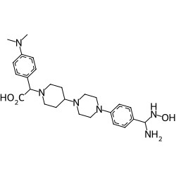 CN(C)c1ccc(C(C(=O)O)N2CCC(N3CCN(c4ccc(C(N)NO)cc4)CC3)CC2)cc1